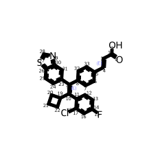 O=C(O)/C=C/c1ccc(/C(=C(\c2ccc(F)cc2Cl)C2CCC2)c2ccc3scnc3c2)cc1